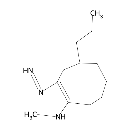 CCCC1CCCC/C(NC)=C(/N=N)C1